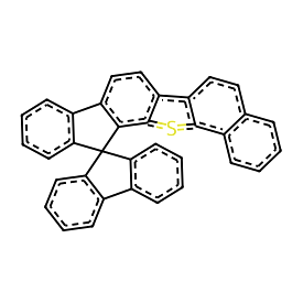 c1ccc2c(c1)-c1ccccc1C21c2ccccc2-c2ccc3c(sc4c5ccccc5ccc34)c21